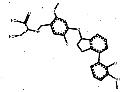 CNc1cccc(-c2cccc3c2CCC3Oc2cc(OC)c(CNC(CO)C(=O)O)cc2Cl)c1Cl